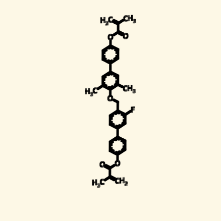 C=C(C)C(=O)Oc1ccc(-c2cc(C)c(OCc3ccc(-c4ccc(OC(=O)C(=C)C)cc4)cc3F)c(C)c2)cc1